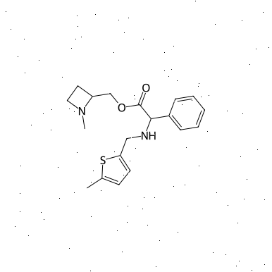 Cc1ccc(CNC(C(=O)OCC2CCN2C)c2ccccc2)s1